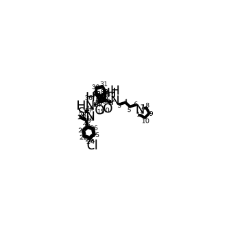 O=C(NCCCCN1CCCC1)[C@H]1[C@H](C(=O)Nc2nc(-c3ccc(Cl)cc3)cs2)[C@@H]2C=C[C@H]1C21CC1